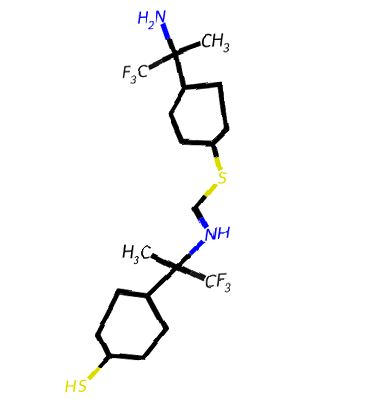 CC(N)(C1CCC(SCNC(C)(C2CCC(S)CC2)C(F)(F)F)CC1)C(F)(F)F